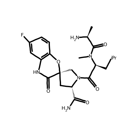 CC(C)C[C@@H](C(=O)N1C[C@@]2(C[C@H]1C(N)=O)Oc1ccc(F)cc1NC2=O)N(C)C(=O)[C@H](C)N